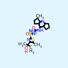 Cc1sc([S@@](N)(=O)=NC(=O)Nc2c3c(nc4c2CCC4C)CCC3)nc1C(C)(C)O